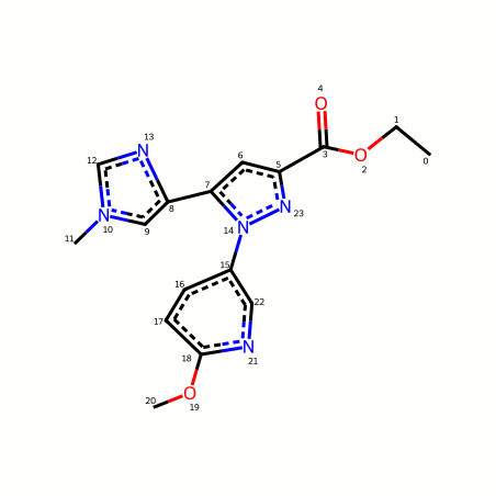 CCOC(=O)c1cc(-c2cn(C)cn2)n(-c2ccc(OC)nc2)n1